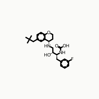 CC(C)(C)Cc1ccc2c(c1)[C@@H](NC[C@@H](O)[C@H](Cc1cccc(F)c1)NC(=O)O)CCO2